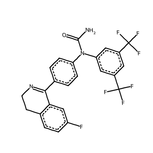 NC(=O)N(c1ccc(C2=NCCc3ccc(F)cc32)cc1)c1cc(C(F)(F)F)cc(C(F)(F)F)c1